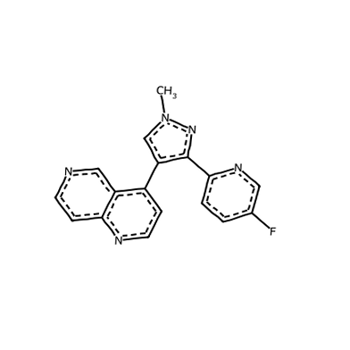 Cn1cc(-c2ccnc3ccncc23)c(-c2ccc(F)cn2)n1